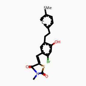 CSc1ccc(CCc2cc(/C=C3\SC(=O)N(C)C3=O)c(Br)cc2O)cc1